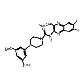 COc1cc(OC)cc(N2CCN(C(=O)Nc3nc4cc(F)c(F)cc4nc3OC)CC2)c1